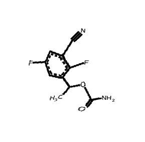 CC(OC(N)=O)c1cc(F)cc(C#N)c1F